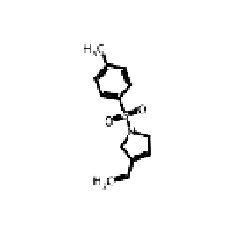 C=CC1=CCN(S(=O)(=O)c2ccc(C)cc2)C1